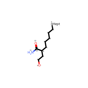 CCCCCCCCCCCCC(CC[O])C(N)=O